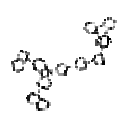 c1cc(-c2ccc(-c3ccc(-n4c5ccc(-c6cccc7ccccc67)cc5c5cc(-c6cccc7ccccc67)ccc54)cc3)cc2)cc(-c2cnc3c4ccccc4c4ccccc4c3n2)c1